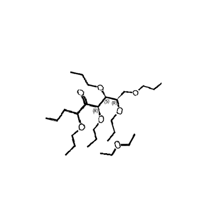 CCCOC[C@@H](OCCC)[C@H](OCCC)[C@@H](OCCC)C(=O)C(CCC)OCCC.CCOCC